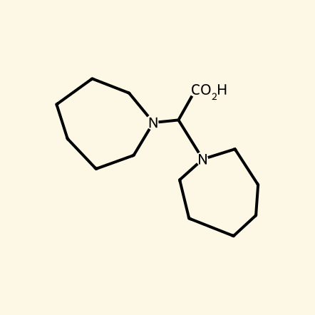 O=C(O)C(N1CCCCCC1)N1CCCCCC1